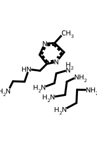 Cc1cnc(CNCCN)cn1.NCCN.NCCN.NCCN